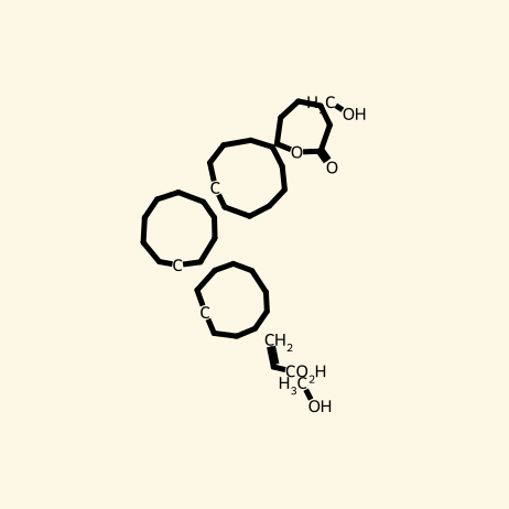 C1CCCCCCCCC1.C1CCCCCCCCC1.C1CCCCCCCCC1.C=CC(=O)O.CO.CO.O=C1CCCCCO1